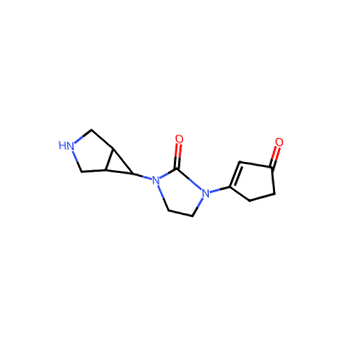 O=C1C=C(N2CCN(C3C4CNCC43)C2=O)CC1